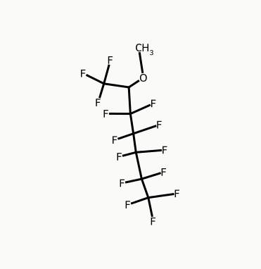 COC(C(F)(F)F)C(F)(F)C(F)(F)C(F)(F)C(F)(F)C(F)(F)F